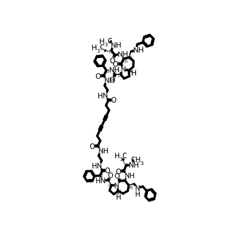 CC[C@H](NC)C(=O)N[C@@H]1C(=O)N2[C@@H](CC[C@@H]1CNCc1ccccc1)CC[C@H]2C(=O)N[C@H](C(=O)NCCNC(=O)CCC#CC#CCCC(=O)NCCNC(=O)[C@@H](NC(=O)[C@@H]1CC[C@@H]2CC[C@H](CNCc3ccccc3)[C@H](NC(=O)[C@H](CC)NC)C(=O)N21)c1ccccc1)c1ccccc1